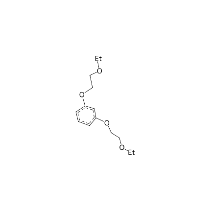 CCOCCOc1cccc(OCCOCC)c1